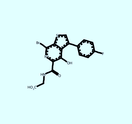 O=C(O)CNC(=O)c1nc(Br)c2scc(-c3ccc(F)cc3)c2c1O